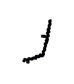 CCCCCCCCCC(C#N)CCCCCCCC/C=C\CCCCCCCC(=O)OC